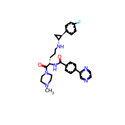 CN1CCN(C(=O)[C@H](CCCN[C@@H]2C[C@H]2c2ccc(F)cc2)NC(=O)c2ccc(-c3cnccn3)cc2)CC1